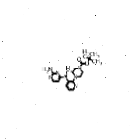 CN(c1ccnc(N)n1)c1cccnc1N1CCN(C(=O)OC(C)(C)C)CC1